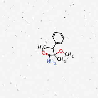 COC(C)(C(N)=O)C(C)c1ccccc1